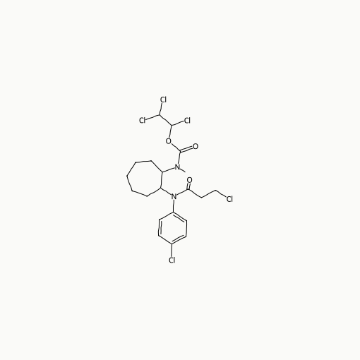 CN(C(=O)OC(Cl)C(Cl)Cl)C1CCCCCC1N(C(=O)CCCl)c1ccc(Cl)cc1